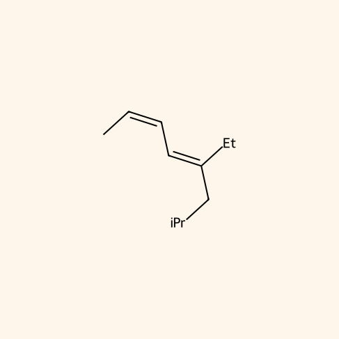 C/C=C\C=C(/CC)CC(C)C